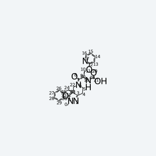 CN1N=C2CCN(C(=O)[C@@H](COc3ccccn3)NC(=O)O)C[C@@]2(Cc2ccccc2)C1=O